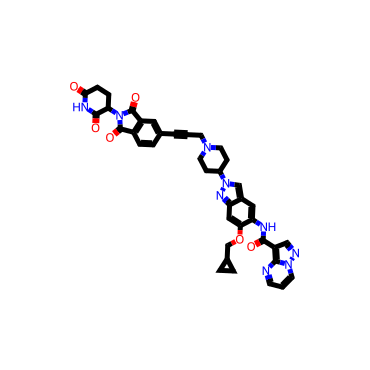 O=C1CCC(N2C(=O)c3ccc(C#CCN4CCC(n5cc6cc(NC(=O)c7cnn8cccnc78)c(OCC7CC7)cc6n5)CC4)cc3C2=O)C(=O)N1